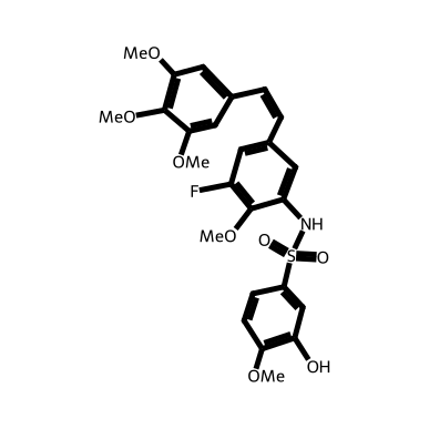 COc1ccc(S(=O)(=O)Nc2cc(/C=C\c3cc(OC)c(OC)c(OC)c3)cc(F)c2OC)cc1O